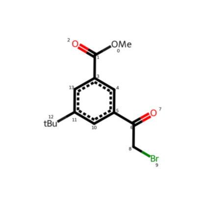 COC(=O)c1cc(C(=O)CBr)cc(C(C)(C)C)c1